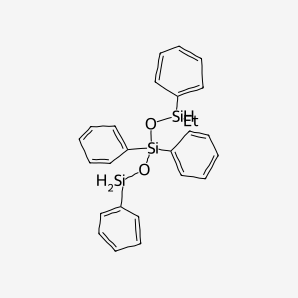 CC[SiH](O[Si](O[SiH2]c1ccccc1)(c1ccccc1)c1ccccc1)c1ccccc1